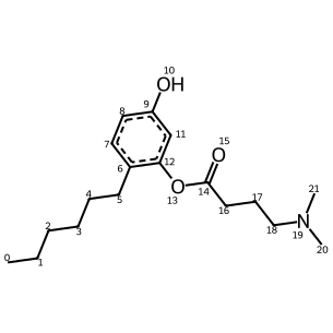 CCCCCCc1ccc(O)cc1OC(=O)CCCN(C)C